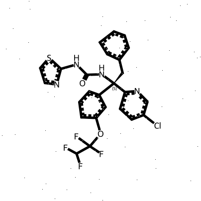 O=C(Nc1nccs1)N[C@@](Cc1ccccc1)(c1cccc(OC(F)(F)C(F)F)c1)c1ccc(Cl)cn1